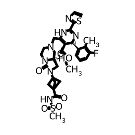 CCOC(=O)C1=C(CN2CCN3C(=O)N(C45CC(C(=O)NS(C)(=O)=O)(C4)C5)C[C@@H]3C2)NC(c2nccs2)=N[C@H]1c1cccc(F)c1C